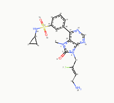 Cn1c(=O)n(CC(F)=CCN)c2ncnc(-c3cccc(S(=O)(=O)NC4CC4)c3)c21